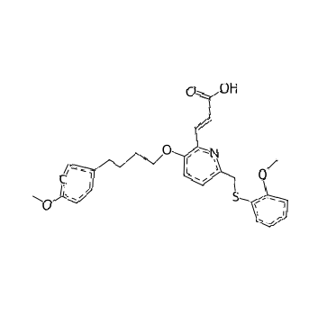 COc1ccc(CCCCOc2ccc(CSc3ccccc3OC)nc2C=CC(=O)O)cc1